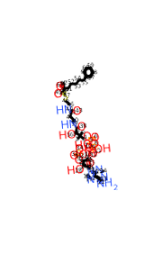 CC(C)(COP(=O)(O)OP(=O)(O)OC[C@H]1O[C@@H](n2cnc3c(N)ncnc32)[C@H](O)[C@@H]1OP(=O)(O)O)[C@@H](O)C(=O)NCCC(=O)NCCSC(=O)C1(CCCCCc2ccccc2)CO1